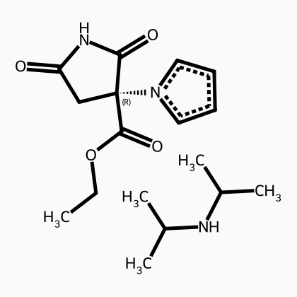 CC(C)NC(C)C.CCOC(=O)[C@@]1(n2cccc2)CC(=O)NC1=O